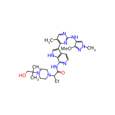 CCC(C(=O)Nc1nccc2c(-c3nc(Nc4cn(C)nc4OC)ncc3C)c[nH]c12)N1CCN(C(C)(C)CO)CC1